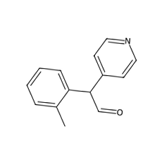 Cc1ccccc1C(C=O)c1ccncc1